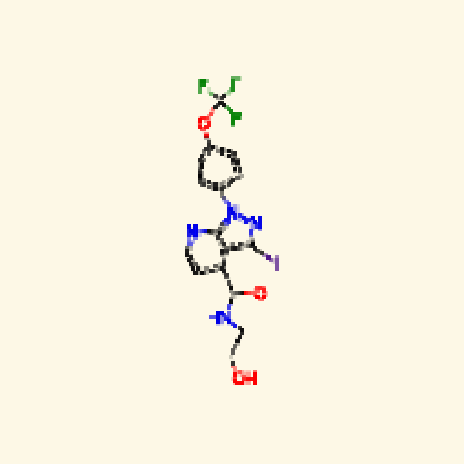 O=C(NCCO)c1ccnc2c1c(I)nn2-c1ccc(OC(F)(F)F)cc1